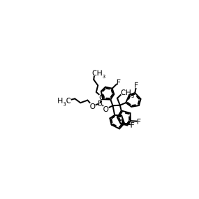 CCCCOB(OCCCC)OC(c1cccc(F)c1)(c1cccc(F)c1)C(CC)(c1cccc(F)c1)c1cccc(F)c1